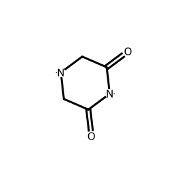 O=C1C[N]CC(=O)[N]1